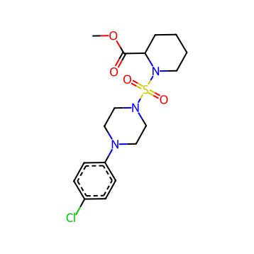 COC(=O)C1CCCCN1S(=O)(=O)N1CCN(c2ccc(Cl)cc2)CC1